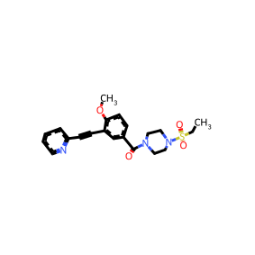 CCS(=O)(=O)N1CCN(C(=O)c2ccc(OC)c(C#Cc3ccccn3)c2)CC1